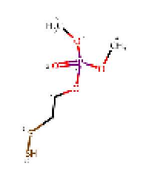 COP(=O)(OC)OCCSS